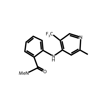 CNC(=O)c1ccccc1Nc1cc(C)ncc1C(F)(F)F